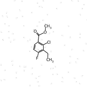 CCc1c(F)ccc(C(=O)OC)c1Cl